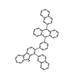 c1cc(-c2ccc3c(sc4ccccc43)c2-c2ccc3ccccc3c2)cc(-c2c3ccccc3c(-c3ccc4ccccc4c3)c3ccccc23)c1